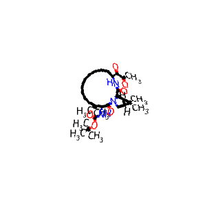 CC(=O)C(=O)[C@@H]1CCCCCCCCCC(C)(C)[C@H](NC(=O)OC(C)(C)C)C(=O)N2C[C@H]3C([C@H]2C(=O)N1)C3(C)C